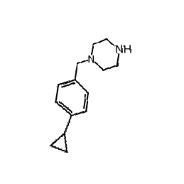 c1cc(C2CC2)ccc1CN1CCNCC1